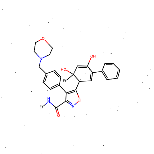 CCNC(=O)c1noc(C2C=C(c3ccccc3)C(O)=CC2(O)CC)c1-c1ccc(CN2CCOCC2)cc1